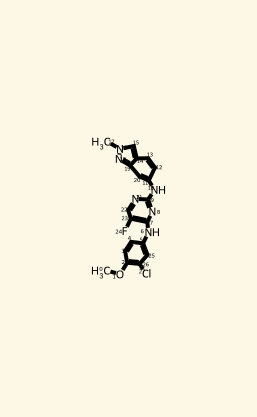 COc1ccc(Nc2nc(Nc3ccc4cn(C)nc4c3)ncc2F)cc1Cl